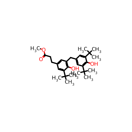 COC(=O)CCc1cc(Cc2cc(C(C)(C)C)c(O)c(C(C)(C)C)c2)c(O)c(C(C)(C)C)c1